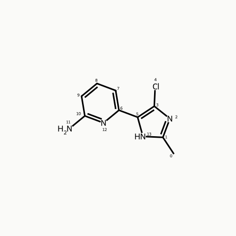 Cc1nc(Cl)c(-c2cccc(N)n2)[nH]1